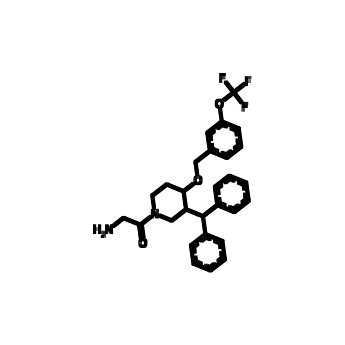 NCC(=O)N1CCC(OCc2cccc(OC(F)(F)F)c2)C(C(c2ccccc2)c2ccccc2)C1